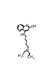 CCN(CC)CCCCCNc1cc(O)nc2cccnc12